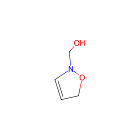 OCN1C=CCO1